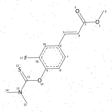 COC(=O)C=Cc1ccc(OC(=S)N(C)C)c(F)c1